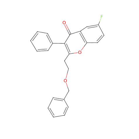 O=c1c(-c2ccccc2)c(CCOCc2ccccc2)oc2ccc(F)cc12